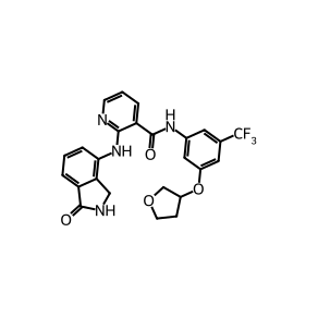 O=C(Nc1cc(OC2CCOC2)cc(C(F)(F)F)c1)c1cccnc1Nc1cccc2c1CNC2=O